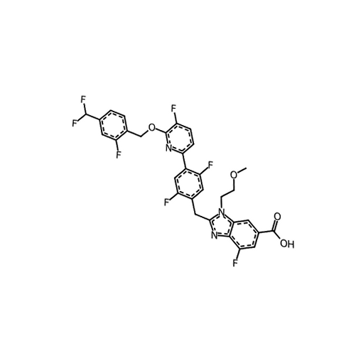 COCCn1c(Cc2cc(F)c(-c3ccc(F)c(OCc4ccc(C(F)F)cc4F)n3)cc2F)nc2c(F)cc(C(=O)O)cc21